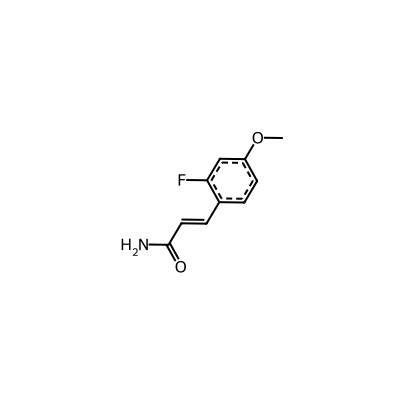 COc1ccc(/C=C/C(N)=O)c(F)c1